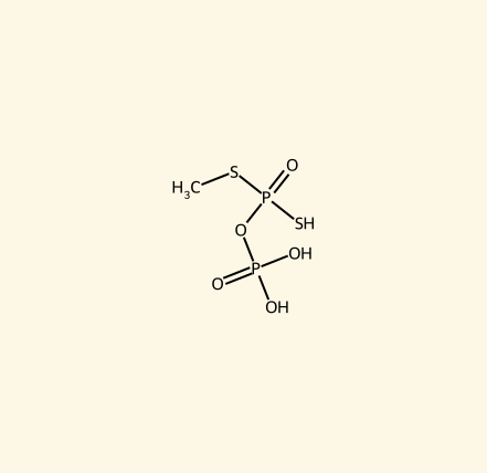 CSP(=O)(S)OP(=O)(O)O